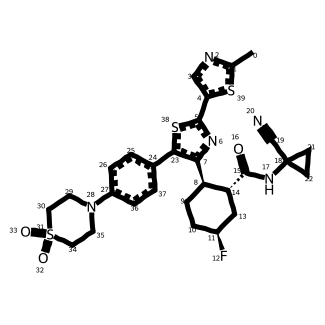 Cc1ncc(-c2nc([C@@H]3CC[C@H](F)C[C@H]3C(=O)NC3(C#N)CC3)c(-c3ccc(N4CCS(=O)(=O)CC4)cc3)s2)s1